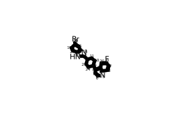 Fc1ccc2nccc(C3CCC(c4nc5cc(Br)ccc5[nH]4)CC3)c2c1